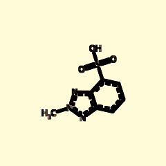 Cn1nc2cccc(S(=O)(=O)O)c2n1